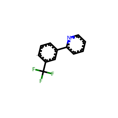 FC(F)(F)c1[c]ccc(-c2ccccn2)c1